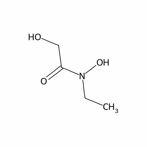 CCN(O)C(=O)CO